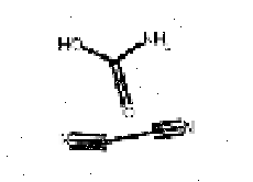 N#CC#N.NC(=O)O